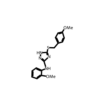 COc1ccc(CSc2nc(Nc3ccccc3OC)n[nH]2)cc1